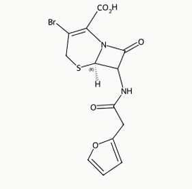 O=C(Cc1ccco1)NC1C(=O)N2C(C(=O)O)=C(Br)CS[C@H]12